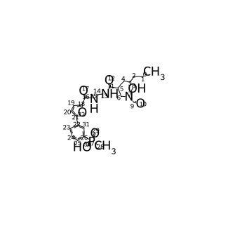 CCCCCC(CN(O)C=O)C(=O)NCNC(=O)c1ccc(-c2cccc(P(C)(=O)O)c2)o1